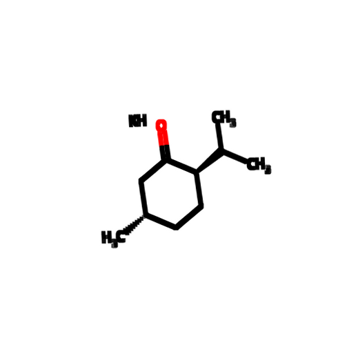 CC(C)[C@H]1CC[C@H](C)CC1=O.[KH]